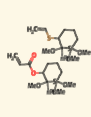 C=CC(=O)OC1CCC[Si](OC)(OC)C1(CCC)OC.C=CSC1CCC[Si](OC)(OC)C1(CCC)OC